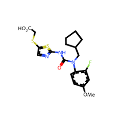 COc1ccc(N(CC2CCCC2)C(=O)Nc2ncc(SCC(=O)O)s2)c(F)c1